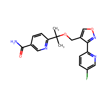 CC(C)(OCc1conc1-c1ccc(F)cn1)c1ccc(C(N)=O)cn1